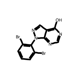 Oc1ncnc2c1cnn2-c1c(Br)cccc1Br